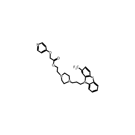 O=C(COc1ccncc1)OCCN1CCN(CCCN2c3ccccc3Sc3ccc(C(F)(F)F)cc32)CC1